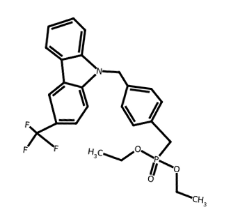 CCOP(=O)(Cc1ccc(Cn2c3ccccc3c3cc(C(F)(F)F)ccc32)cc1)OCC